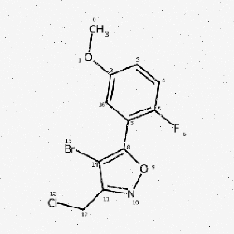 COc1ccc(F)c(-c2onc(CCl)c2Br)c1